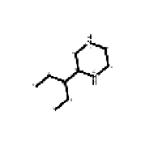 CCC(CC)C1CNCCN1